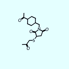 CC(=O)CSC1CC(=O)N(CC2CCC(C(C)=O)CC2)C1=O